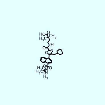 CC(C)(C)NS(=O)(=O)c1ccc(-c2oc(C(=O)NCCC(C)(C)C(=O)O)nc2CC2CCCCC2)c2ccccc12